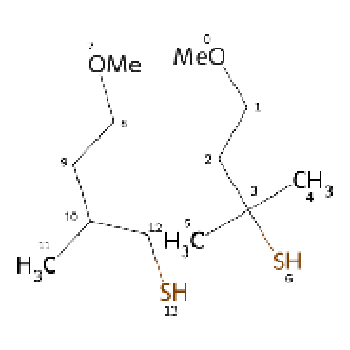 COCCC(C)(C)S.COCCC(C)CS